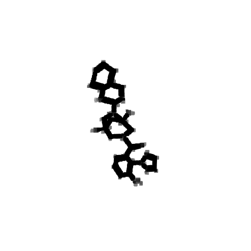 Cc1cccc(C(=O)N2C[C@H]3C[C@@H](C2)N(c2ncc4ccccc4n2)C3)c1-n1nccn1